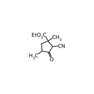 CCOC(=O)C1(C)CC(C)C(=O)C1C#N